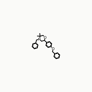 CC1(C)COC(c2ccc(OCc3ccccc3)cc2)CN1Cc1ccccc1